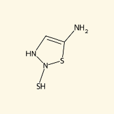 NC1=CNN(S)S1